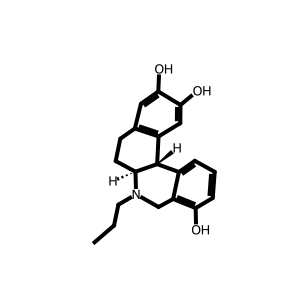 CCCN1Cc2c(O)cccc2[C@H]2c3cc(O)c(O)cc3CC[C@@H]21